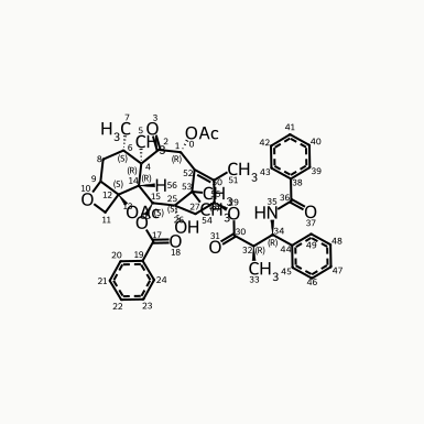 CC(=O)O[C@H]1C(=O)[C@]2(C)[C@@H](C)CC3OC[C@@]3(OC(C)=O)[C@H]2[C@H](OC(=O)c2ccccc2)[C@]2(O)C[C@H](OC(=O)[C@H](C)[C@@H](NC(=O)c3ccccc3)c3ccccc3)C(C)=C1C2(C)C